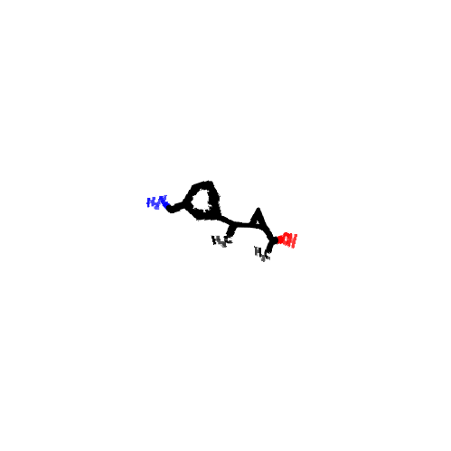 CC(O)C1CC1C(C)c1cccc(CN)c1